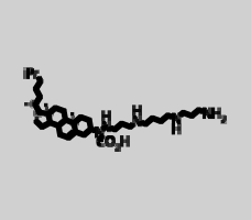 CC(C)CCC[C@@H](C)[C@H]1CCC2C3CC=C4CC(N(NCCCNCCCCNCCCN)C(=O)O)CC[C@]4(C)C3CC[C@@]21C